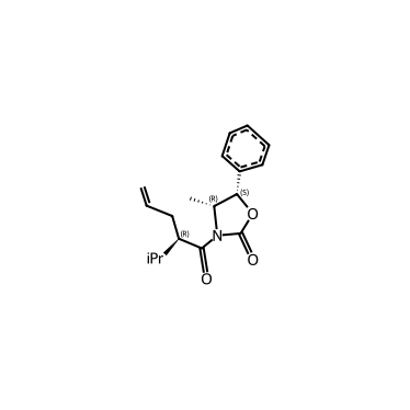 C=CC[C@@H](C(=O)N1C(=O)O[C@@H](c2ccccc2)[C@H]1C)C(C)C